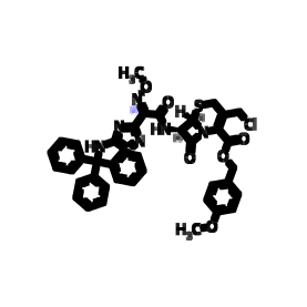 CO/N=C(\C(=O)N[C@@H]1C(=O)N2C(C(=O)OCc3ccc(OC)cc3)=C(CCl)CS[C@@H]12)c1nsc(NC(c2ccccc2)(c2ccccc2)c2ccccc2)n1